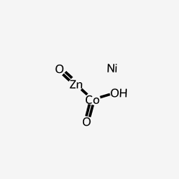 [Ni].[O]=[Zn][Co](=[O])[OH]